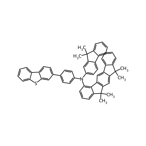 CC1(C)c2ccccc2-c2ccc(N(c3ccc(-c4ccc5c(c4)sc4ccccc45)cc3)c3cccc4c3-c3cc5c(cc3C4(C)C)C(C)(C)c3ccccc3-5)cc21